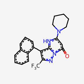 O=c1cc(N2CCCCC2)[nH]c2c(-c3cccc4ccccc34)c(C(F)(F)F)nn12